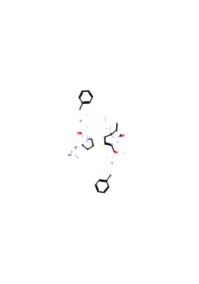 C[C@@H](O)[C@H]1C(=O)N2C(C(=O)OCOCc3ccccc3)=C(S[C@H]3C[C@@H](C(=O)N(C)C)N(C(=O)OCOCc4ccccc4)C3)[C@H](C)[C@H]12